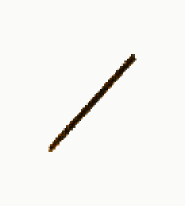 S=S=S=S=S=S=S=S=S=S=S=S=S=S=S=S=S=S=S=S=S=S=S=S=S=S=S=S=S=S=S=S=S=S=S=S=S=S=S=S=S=S=S=S=S=S=S=S=S=S=S=S=S=S=S=S=S=S=S=S=S=S=S=S=S=S=S=S=S=S=S=S=S=S=S=S=S=S=S=S